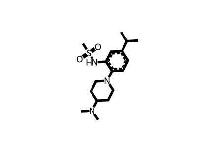 CC(C)c1ccc(N2CCC(N(C)C)CC2)c(NS(C)(=O)=O)c1